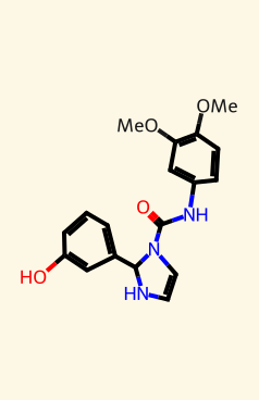 COc1ccc(NC(=O)N2C=CNC2c2cccc(O)c2)cc1OC